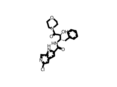 O=C(N[C@@H](Cc1ccccc1)[C@@H](O)C(=O)N1CCOCC1)c1cc2cc(Cl)ncc2[nH]1